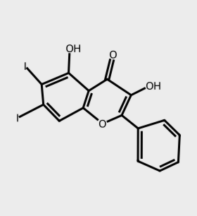 O=c1c(O)c(-c2ccccc2)oc2cc(I)c(I)c(O)c12